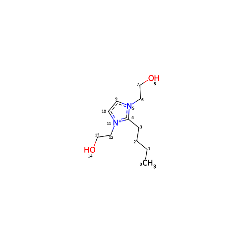 CCCCc1n(CCO)cc[n+]1CCO